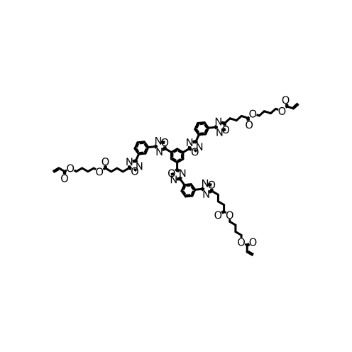 C=CC(=O)OCCCCOC(=O)CCCc1nc(-c2cccc(-c3noc(-c4cc(-c5nc(-c6cccc(-c7noc(CCCC(=O)OCCCCOC(=O)C=C)n7)c6)no5)cc(-c5nc(-c6cccc(-c7noc(CCCC(=O)OCCCCOC(=O)C=C)n7)c6)no5)c4)n3)c2)no1